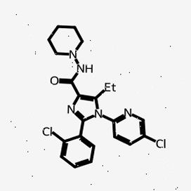 CCc1c(C(=O)NN2CCCCC2)nc(-c2ccccc2Cl)n1-c1ccc(Cl)cn1